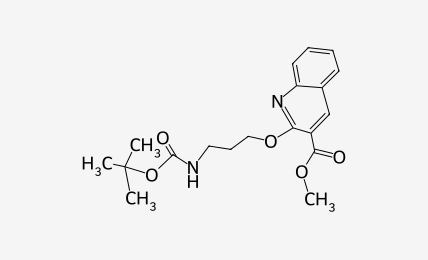 COC(=O)c1cc2ccccc2nc1OCCCNC(=O)OC(C)(C)C